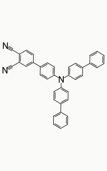 N#Cc1ccc(-c2ccc(N(c3ccc(-c4ccccc4)cc3)c3ccc(-c4ccccc4)cc3)cc2)cc1C#N